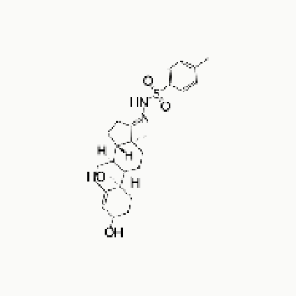 Cc1ccc(S(=O)(=O)NN=C2CC[C@H]3[C@@H]4CCC5=CC(O)CC[C@]5(CO)[C@@H]4CC[C@]23C)cc1